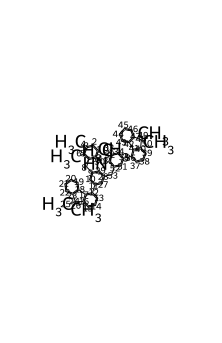 Cc1cc(C)c(C)c(Cc2cc(-c3cccc4c3-c3ccccc3C4(C)C)cc3c2Nc2c(C)cc(-c4cccc5c4-c4ccccc4C5(C)C)cc2C3)c1